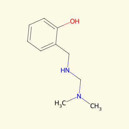 CN(C)CNCc1ccccc1O